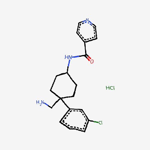 Cl.NCC1(c2cccc(Cl)c2)CCC(NC(=O)c2ccncc2)CC1